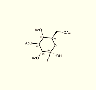 CC(=O)OC[C@H]1O[C@@](O)(F)[C@H](OC(C)=O)[C@@H](OC(C)=O)[C@@H]1OC(C)=O